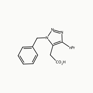 CCCc1nnn(Cc2ccccc2)c1CC(=O)O